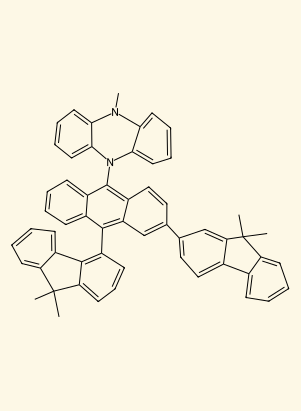 CN1c2ccccc2N(c2c3ccccc3c(-c3cccc4c3-c3ccccc3C4(C)C)c3cc(-c4ccc5c(c4)C(C)(C)c4ccccc4-5)ccc23)c2ccccc21